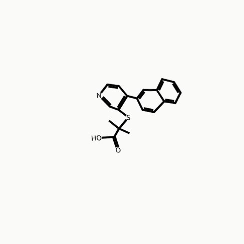 CC(C)(Sc1cnccc1-c1ccc2ccccc2c1)C(=O)O